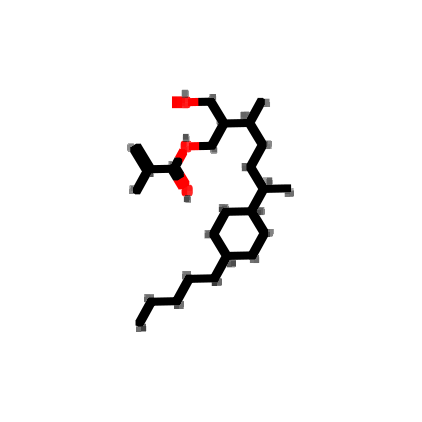 C=C(C)C(=O)OCC(CO)C(C)CCC(C)C1CCC(CCCCC)CC1